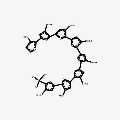 CCCCCCc1ccsc1-c1cc(CCCCCC)c(-c2cc(CCCCCC)c(-c3cc(CCCCCC)c(-c4cc(CCCCCC)c(-c5cc(CCCCCC)c(-c6cc(CCCCCC)c(-c7cc(CCCCCC)c([Si](C(C)C)(C(C)C)C(C)C)s7)s6)s5)s4)s3)s2)s1